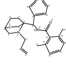 C=CCN1CC2CCC1(C(NC(=O)c1c(C)cccc1C)c1ccccc1)CC2